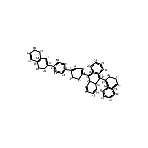 C1=CC2C(C3=CC=C(c4ccc(C5=CC6=C(C=CCC6)CC5)nc4)CC3)=c3ccccc3=C(C3=c4ccccc4=CCC3)C2C=C1